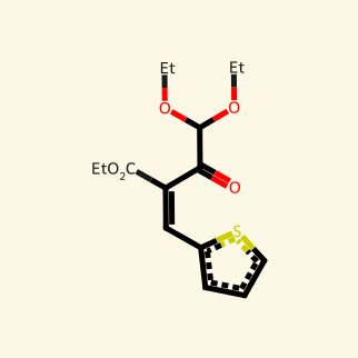 CCOC(=O)C(=Cc1cccs1)C(=O)C(OCC)OCC